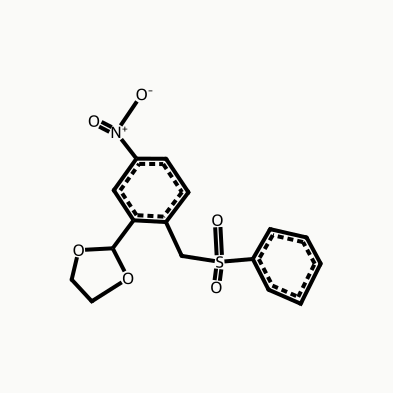 O=[N+]([O-])c1ccc(CS(=O)(=O)c2ccccc2)c(C2OCCO2)c1